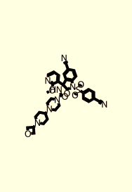 COc1ncccc1[C@]1(NC(=O)N2CCN(C3CCN(C4COC4)CC3)CC2)C(=O)N(S(=O)(=O)c2ccc(C#N)cc2)c2ccc(C#N)cc21